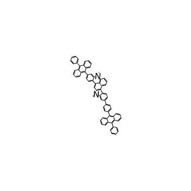 CN1c2cc(-c3c4ccccc4c(-c4ccccc4)c4ccccc34)ccc2-c2cc3c(c4cccc1c24)c1ccc(-c2ccc(-c4c5ccccc5c(-c5ccccc5)c5ccccc45)cc2)cc1n3C